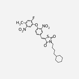 Cc1cc(F)c(Oc2ccc(/C=C3\SC(=O)N(CCCCC4CCCCC4)C3=O)cc2[N+](=O)[O-])cc1[N+](=O)[O-]